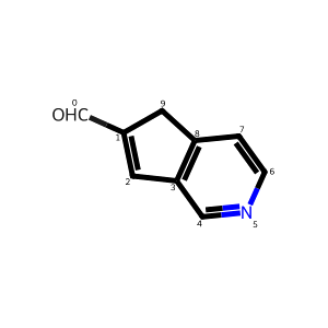 O=CC1=Cc2cnccc2C1